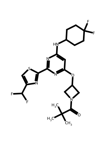 CC(C)(C)C(=O)N1CC(Oc2cc(NC3CCC(F)(F)CC3)nc(-c3nc(C(F)F)cs3)n2)C1